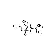 C=C(C)C(=O)OP(=O)(OCC)OCC